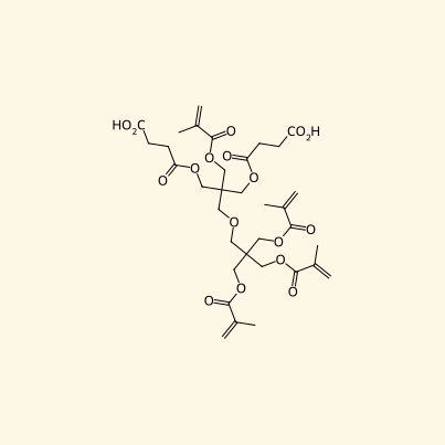 C=C(C)C(=O)OCC(COCC(COC(=O)C(=C)C)(COC(=O)C(=C)C)COC(=O)C(=C)C)(COC(=O)CCC(=O)O)COC(=O)CCC(=O)O